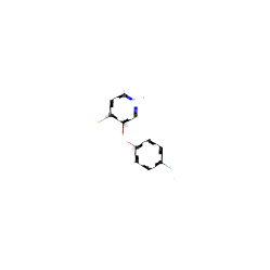 Clc1ccc(Oc2cnccc2Cl)cc1